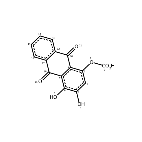 O=C(O)Oc1cc(O)c(O)c2c1C(=O)c1ccccc1C2=O